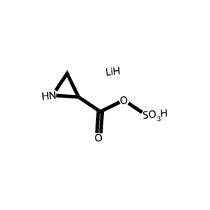 O=C(OS(=O)(=O)O)C1CN1.[LiH]